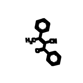 C/C(=C(/C#N)C(=O)c1ccccc1)c1ccccc1